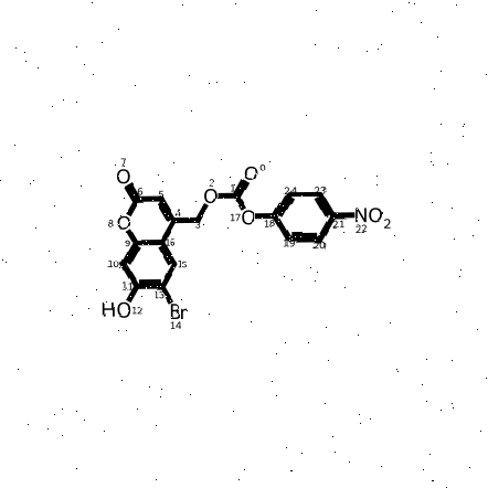 O=C(OCc1cc(=O)oc2cc(O)c(Br)cc12)Oc1ccc([N+](=O)[O-])cc1